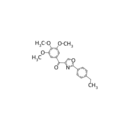 CCc1ccc(-c2nc(C(=O)c3cc(OC)c(OC)c(OC)c3)co2)cc1